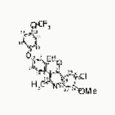 CCOc1c(-c2ccc(Oc3ccc(OC(F)(F)F)cc3)cc2)c(C)nc2cc(OC)c(Cl)cc12